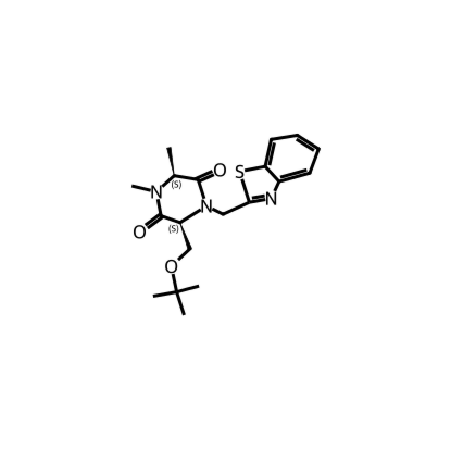 C[C@H]1C(=O)N(Cc2nc3ccccc3s2)[C@@H](COC(C)(C)C)C(=O)N1C